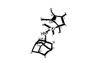 CC1=C[C](C)([Ti]([CH3])([CH3])[NH]C23CC4CC(CC(C4)C2)C3)C(C)=C1C